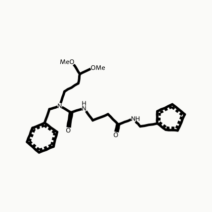 COC(CCN(Cc1ccccc1)C(=O)NCCC(=O)NCc1ccccc1)OC